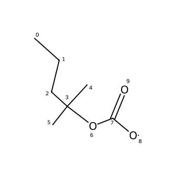 CCCC(C)(C)OC([O])=O